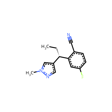 CC[C@@H](c1cnn(C)c1)c1cc(F)ccc1C#N